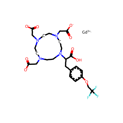 O=C([O-])CN1CCN(CC(=O)[O-])CCN(C(Cc2ccc(OCC(F)(F)F)cc2)C(=O)O)CCN(CC(=O)[O-])CC1.[Gd+3]